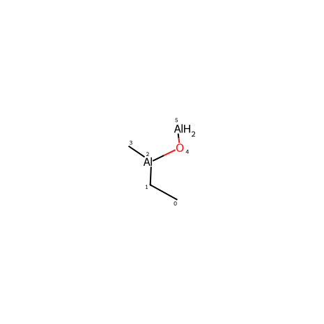 C[CH2][Al]([CH3])[O][AlH2]